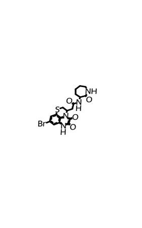 O=C(CC1CSc2cc(Br)cc3[nH]c(=O)c(=O)n1c23)NC1CCCCNC1=O